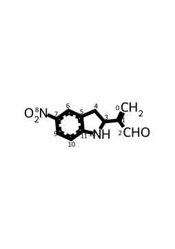 C=C(C=O)C1Cc2cc([N+](=O)[O-])ccc2N1